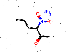 CCCC(C(C)=O)[N+](=O)[O-].N